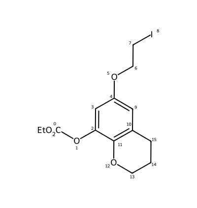 CCOC(=O)Oc1cc(OCCI)cc2c1OCCC2